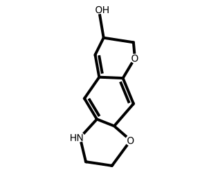 OC1C=C2C=C3NCCOC3C=C2OC1